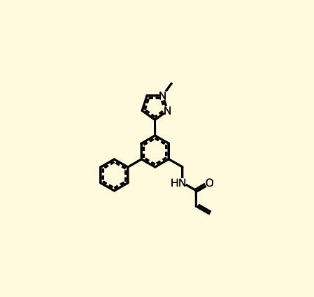 C=CC(=O)NCc1cc(-c2ccccc2)cc(-c2ccn(C)n2)c1